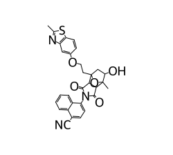 Cc1nc2cc(OCCC34CC(O)C(C)(O3)C3C(=O)N(c5ccc(C#N)c6ccccc56)C(=O)C34)ccc2s1